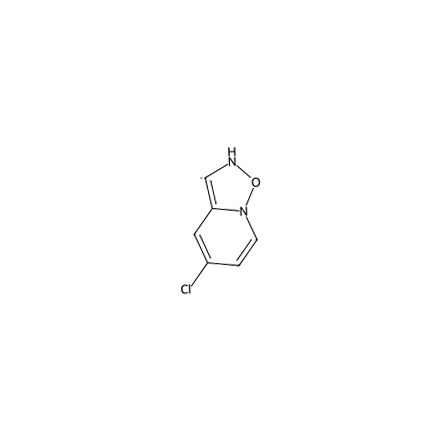 ClC1=CC2=[C]NON2C=C1